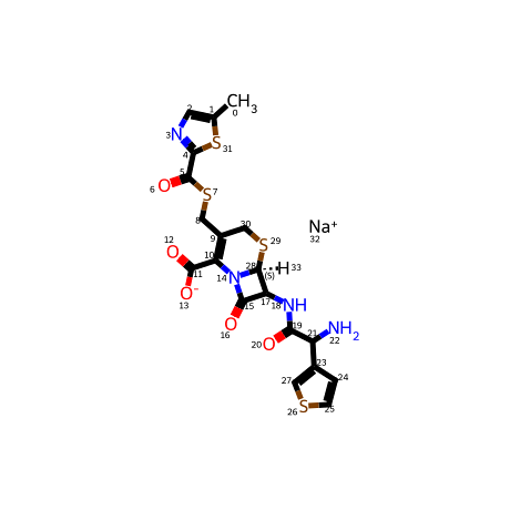 Cc1cnc(C(=O)SCC2=C(C(=O)[O-])N3C(=O)C(NC(=O)C(N)c4ccsc4)[C@@H]3SC2)s1.[Na+]